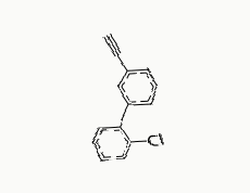 C#Cc1cccc(-c2ccccc2Cl)c1